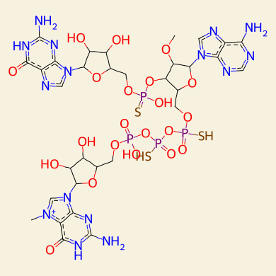 COC1C(OP(O)(=S)OCC2OC(n3cnc4c(=O)[nH]c(N)nc43)C(O)C2O)C(COP(=O)(S)OP(=O)(S)OP(=O)(O)OCC2OC(n3c[n+](C)c4c(=O)[nH]c(N)nc43)C(O)C2O)OC1n1cnc2c(N)ncnc21